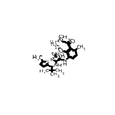 Cc1ccc([C@H](Nc2nsnc2Nc2ccc(C)c(C(=O)N(C)C)c2O)C(C)(C)C)s1